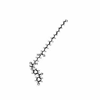 CCC=CCC=CCC=CCC=CCC=CCC=CCCC(=O)NCCCCNC(=O)C(C)(C)Oc1ccc(C(=O)c2ccc(Cl)cc2)cc1